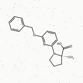 C[C@]1(C(=O)O)CCCN1c1cccc(OCc2ccccc2)n1